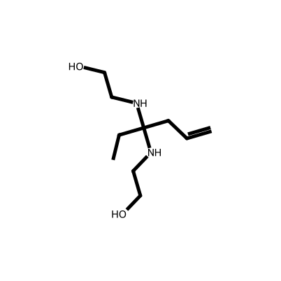 C=CCC(CC)(NCCO)NCCO